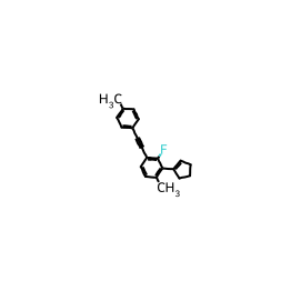 Cc1ccc(C#Cc2ccc(C)c(C3=CCCC3)c2F)cc1